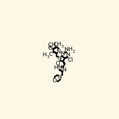 COc1c(C)cnc(CN2C(=O)C(=Cc3nc(CN4CCOCC4)c[nH]3)c3c(Cl)nc(N)nc32)c1C